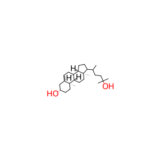 CC(CCC(C)(C)O)C1CC[C@H]2[C@@H]3CC=C4C[C@@H](O)CC[C@]4(C)[C@H]3CC[C@]12C